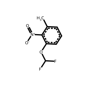 Cc1cccc(OC(F)F)c1[N+](=O)[O-]